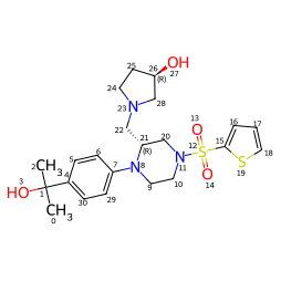 CC(C)(O)c1ccc(N2CCN(S(=O)(=O)c3cccs3)C[C@H]2CN2CC[C@@H](O)C2)cc1